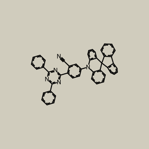 N#Cc1cc(N2c3ccccc3C3(c4ccccc4-c4ccccc43)c3ccccc32)ccc1-c1nc(-c2ccccc2)nc(-c2ccccc2)n1